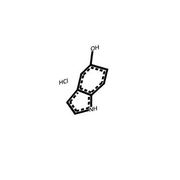 Cl.Oc1ccc2[nH]ccc2c1